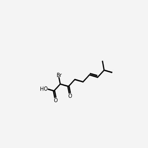 CC(C)C=CCCC(=O)C(Br)C(=O)O